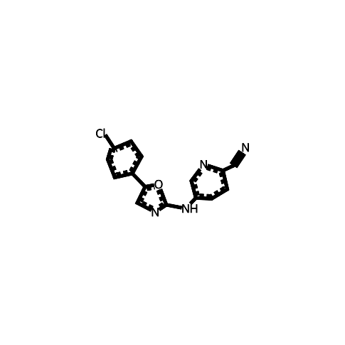 N#Cc1ccc(Nc2ncc(-c3ccc(Cl)cc3)o2)cn1